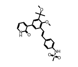 COc1c(C=Cc2ccc(NS(C)(=O)=O)cc2)cc(-c2ccc[nH]c2=O)cc1C(C)(C)OC